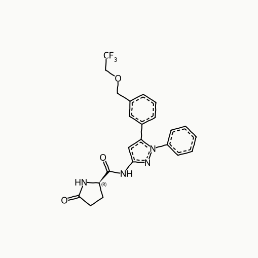 O=C1CC[C@H](C(=O)Nc2cc(-c3cccc(COCC(F)(F)F)c3)n(-c3ccccc3)n2)N1